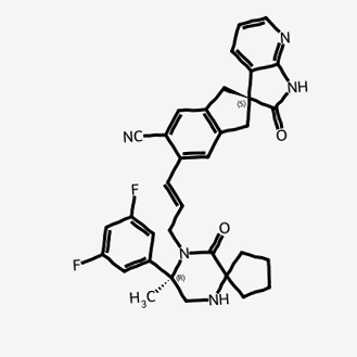 C[C@@]1(c2cc(F)cc(F)c2)CNC2(CCCC2)C(=O)N1CC=Cc1cc2c(cc1C#N)C[C@]1(C2)C(=O)Nc2ncccc21